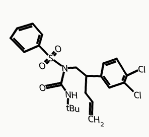 C=CCC(CN(C(=O)NC(C)(C)C)S(=O)(=O)c1ccccc1)c1ccc(Cl)c(Cl)c1